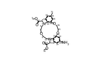 COC(=O)CN1CCOCCN(CC(=O)OC)c2ccc(N)cc2OCCOc2cc(C)ccc21